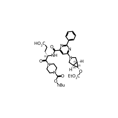 CCCCOC(=O)N1CCN(C(=O)[C@H](CCC(=O)O)NC(=O)c2cc(N3C[C@@H]4[C@H](C3)[C@H]4OC(=O)OCC)nc(-c3ccccc3)n2)CC1